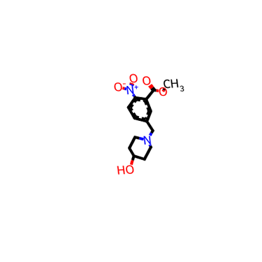 COC(=O)c1cc(CN2CCC(O)CC2)ccc1[N+](=O)[O-]